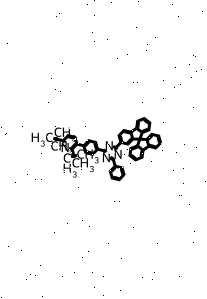 CC(C)(C)c1ccc(-c2ccc(-c3nc(-c4ccccc4)nc(-c4ccc5c(c4)C4(c6ccccc6-c6ccccc64)c4ccccc4-5)n3)cc2)c(C(C)(C)C)n1